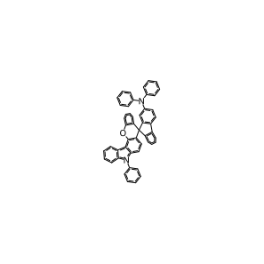 c1ccc(N(c2ccccc2)c2ccc3c(c2)C2(c4ccccc4Oc4c2ccc2c4c4ccccc4n2-c2ccccc2)c2ccccc2-3)cc1